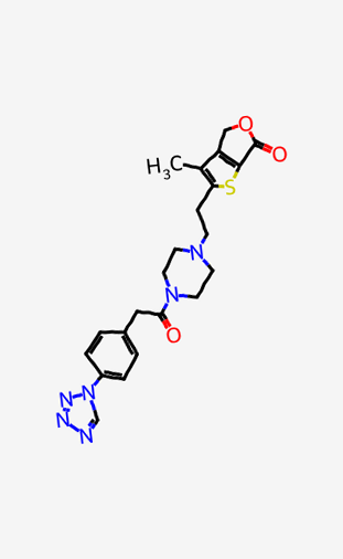 Cc1c(CCN2CCN(C(=O)Cc3ccc(-n4cnnn4)cc3)CC2)sc2c1COC2=O